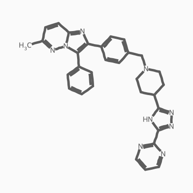 Cc1ccc2nc(-c3ccc(CN4CCC(c5nnc(-c6ncccn6)[nH]5)CC4)cc3)c(-c3ccccc3)n2n1